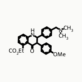 CCOC(=O)c1cccc2c1C(=O)C(c1ccc(OC)cc1)C(c1ccc(CN(C)C)cc1)N2